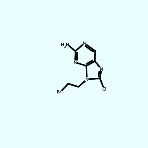 Nc1ncc2nc(Cl)n(CCBr)c2n1